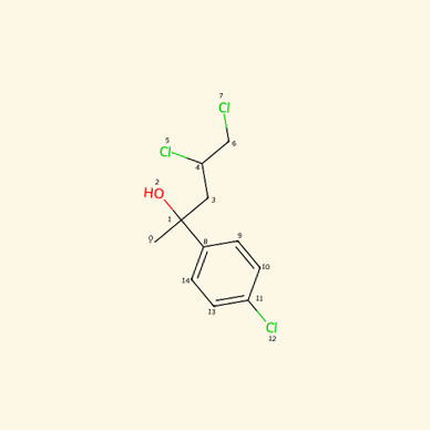 [CH2]C(O)(CC(Cl)CCl)c1ccc(Cl)cc1